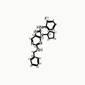 Fc1ccccc1Nc1nc2cnc(NCc3ccccc3)nc2n1C1CCCC1